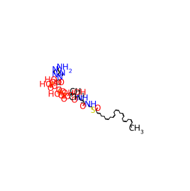 CC/C=C\C/C=C\C/C=C\C/C=C\C/C=C\C/C=C\CC/C=C/C(=O)SCCNC(=O)CCNC(=O)[C@H](O)C(C)(C)COP(=O)(O)OP(=O)(O)OC[C@H]1O[C@@H](n2cnc3c(N)ncnc32)[C@H](O)[C@@H]1OP(=O)(O)O